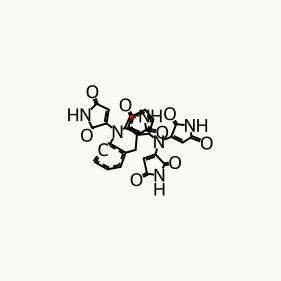 O=C1C=C(N(C2=CC(=O)NC2=O)c2ccccc2Cc2ccccc2N(C2=CC(=O)NC2=O)C2=CC(=O)NC2=O)C(=O)N1